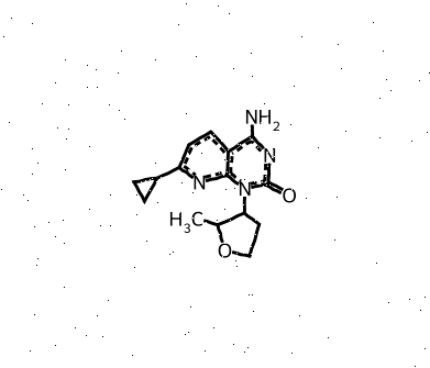 CC1OCCC1n1c(=O)nc(N)c2ccc(C3CC3)nc21